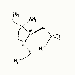 CC[C@@H]1CC(N)(CO)[C@H]1CC1(C)CC1